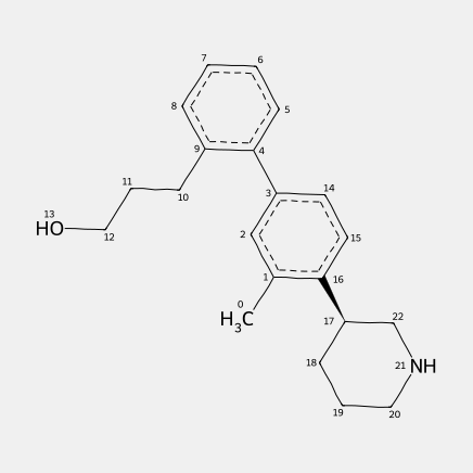 Cc1cc(-c2ccccc2CCCO)ccc1[C@@H]1CCCNC1